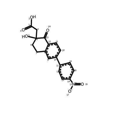 O=C(O)CC1(O)CCc2cc(-c3ccc([N+](=O)[O-])cc3)ccc2C1=O